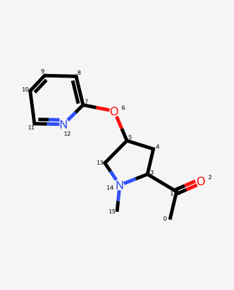 CC(=O)C1CC(Oc2ccccn2)CN1C